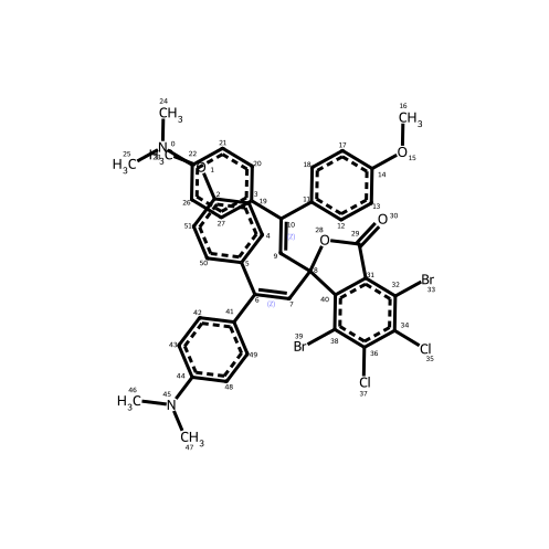 COc1ccc(/C(=C\C2(/C=C(\c3ccc(OC)cc3)c3ccc(N(C)C)cc3)OC(=O)c3c(Br)c(Cl)c(Cl)c(Br)c32)c2ccc(N(C)C)cc2)cc1